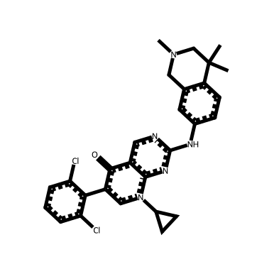 CN1Cc2cc(Nc3ncc4c(=O)c(-c5c(Cl)cccc5Cl)cn(C5CC5)c4n3)ccc2C(C)(C)C1